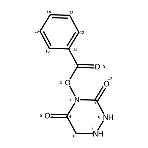 O=C(ON1C(=O)CNNC1=O)c1ccccc1